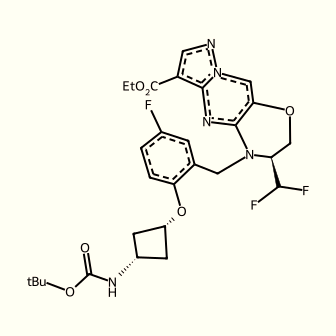 CCOC(=O)c1cnn2cc3c(nc12)N(Cc1cc(F)ccc1O[C@H]1C[C@@H](NC(=O)OC(C)(C)C)C1)[C@H](C(F)F)CO3